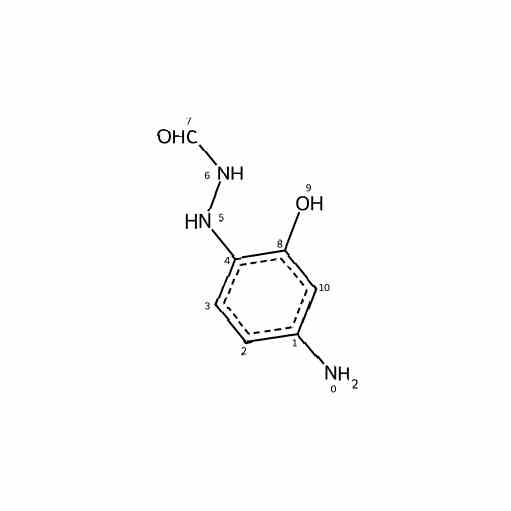 Nc1ccc(NNC=O)c(O)c1